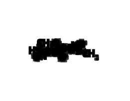 CCCCSn1c(-c2ccccc2)nc2cc(-c3ccc4c(-c5ccccc5)c5cc(-c6ccc7c(c6)nc(-c6ccccc6)n7C(S)CCC)ccc5c(-c5ccccc5)c4c3)ccc21